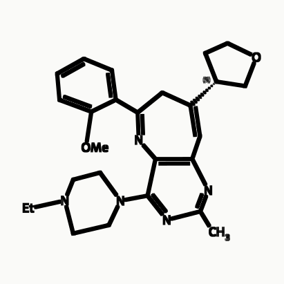 CCN1CCN(c2nc(C)nc3c2N=C(c2ccccc2OC)CC([C@@H]2CCOC2)=C3)CC1